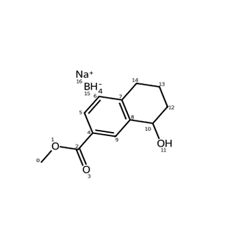 COC(=O)c1ccc2c(c1)C(O)CCC2.[BH4-].[Na+]